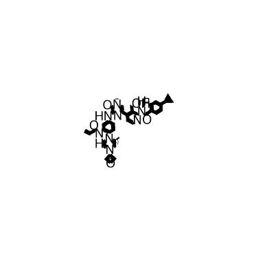 C=CC(=O)Nc1cc(Nc2nc(-c3ccnc(NC(=O)c4ccc(C5CC5)cc4F)c3CO)cn(C)c2=O)ccc1N1CCN(C2COC2)C[C@@H]1C